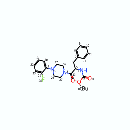 CC(C)(C)OC(=O)NC(Cc1ccccc1)C(=O)N1CCN(c2ccccc2F)CC1